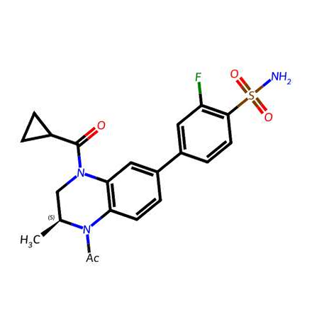 CC(=O)N1c2ccc(-c3ccc(S(N)(=O)=O)c(F)c3)cc2N(C(=O)C2CC2)C[C@@H]1C